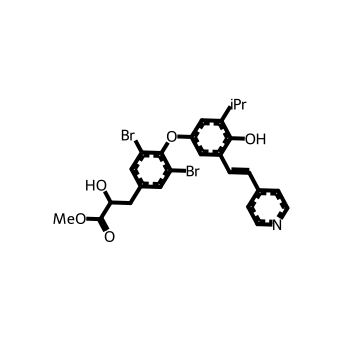 COC(=O)C(O)Cc1cc(Br)c(Oc2cc(/C=C/c3ccncc3)c(O)c(C(C)C)c2)c(Br)c1